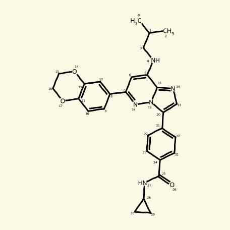 CC(C)CNc1cc(-c2ccc3c(c2)OCCO3)nn2c(-c3ccc(C(=O)NC4CC4)cc3)cnc12